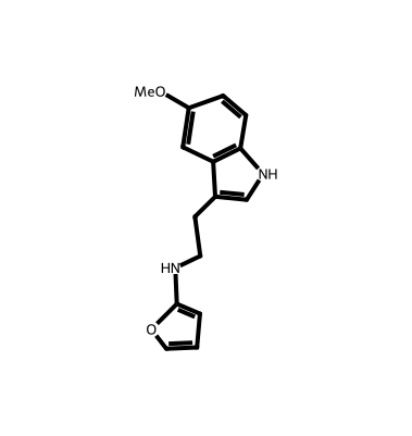 COc1ccc2[nH]cc(CCNc3ccco3)c2c1